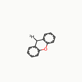 [2H]C1c2ccccc2Oc2ccccc21